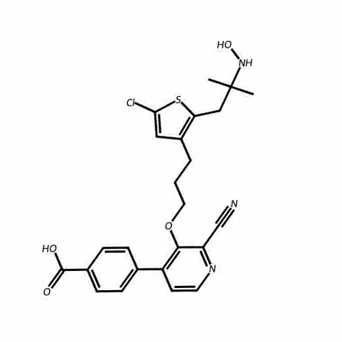 CC(C)(Cc1sc(Cl)cc1CCCOc1c(-c2ccc(C(=O)O)cc2)ccnc1C#N)NO